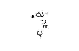 N#Cc1ccc2[nH]cc(C3=CCC(NCCc4cccc(F)c4)CC3)c2c1